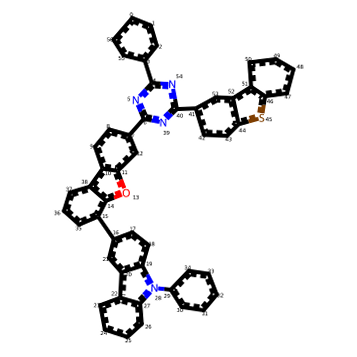 c1ccc(-c2nc(-c3ccc4c(c3)oc3c(-c5ccc6c(c5)c5ccccc5n6-c5ccccc5)cccc34)nc(-c3ccc4sc5ccccc5c4c3)n2)cc1